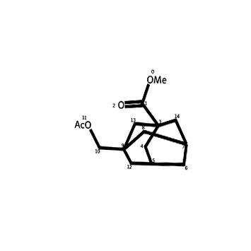 COC(=O)C12CC3CC(CC(COC(C)=O)(C3)C1)C2